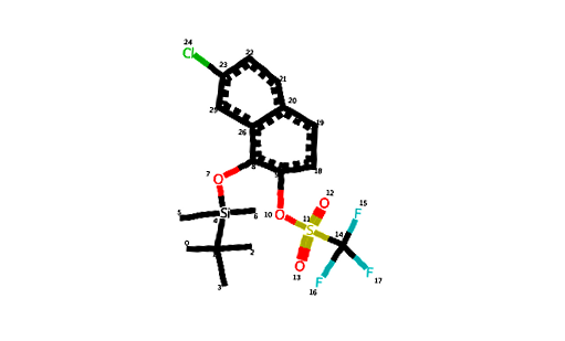 CC(C)(C)[Si](C)(C)Oc1c(OS(=O)(=O)C(F)(F)F)ccc2ccc(Cl)cc12